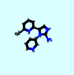 Cc1cccc(-c2cnc(N)n2-c2cccnc2)n1